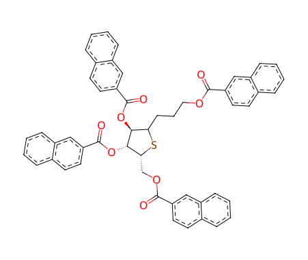 O=C(OCCCC1S[C@H](COC(=O)c2ccc3ccccc3c2)[C@H](OC(=O)c2ccc3ccccc3c2)[C@H]1OC(=O)c1ccc2ccccc2c1)c1ccc2ccccc2c1